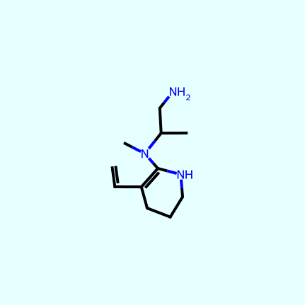 C=CC1=C(N(C)C(C)CN)NCCC1